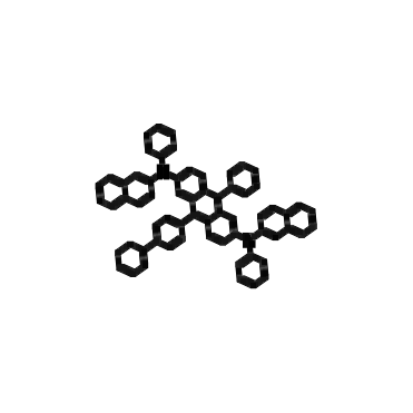 C1=CCCC(c2ccc(-c3c4ccc(N(c5ccccc5)c5ccc6ccccc6c5)cc4c(-c4ccccc4)c4ccc(N(c5ccccc5)c5ccc6ccccc6c5)cc34)cc2)=C1